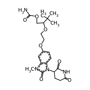 Cn1c(=O)n(C2CCC(=O)NC2=O)c2ccc(OCCOC(COC(N)=O)C(C)(C)C)cc21